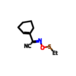 CCSON=C(C#N)C1=CCCCC1